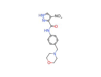 O=C(Nc1ccc(CN2CCOCC2)cc1)c1n[nH]cc1[N+](=O)[O-]